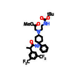 COC(=O)CN(CCNC(=O)OC(C)(C)C)[C@H]1CC[C@](NC(=O)C(C)c2cc(C(F)(F)F)cc(C(F)(F)F)c2)(c2ccccc2)CC1